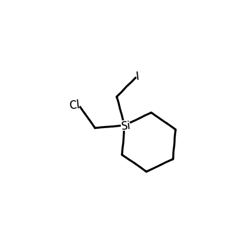 ClC[Si]1(CI)CCCCC1